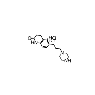 Cl.Cl.O=C1CCc2cc(CCCN3CCNCC3)ccc2N1